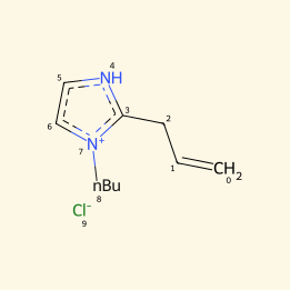 C=CCc1[nH]cc[n+]1CCCC.[Cl-]